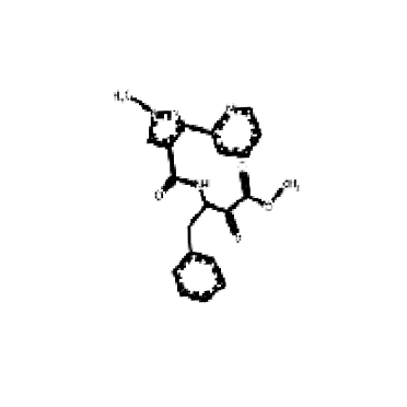 COC(=O)C(=O)C(Cc1ccccc1)NC(=O)c1cn(C)nc1-c1ccccn1